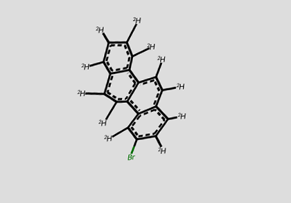 [2H]c1c([2H])c([2H])c2c(c1[2H])c([2H])c([2H])c1c3c([2H])c(Br)c([2H])c([2H])c3c([2H])c([2H])c21